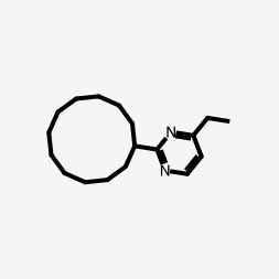 CCc1ccnc(C2CCCCCCCCCCC2)n1